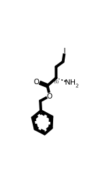 N[C@@H](CCI)C(=O)OCc1ccccc1